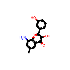 Cc1cc(N)c2oc(-c3cccc(O)c3)c(O)c(=O)c2c1